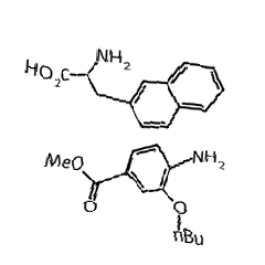 CCCCOc1cc(C(=O)OC)ccc1N.NC(Cc1ccc2ccccc2c1)C(=O)O